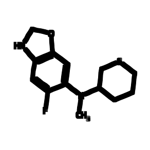 CN(c1cc2c(cc1F)NCO2)C1CCCSC1